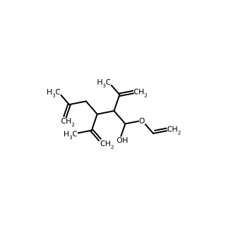 C=COC(O)C(C(=C)C)C(CC(=C)C)C(=C)C